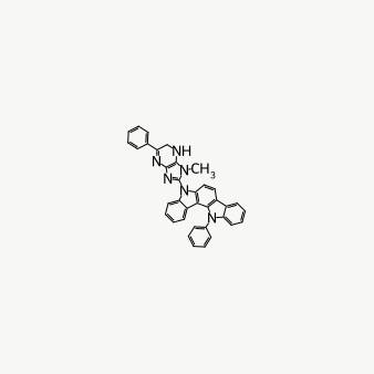 Cn1c(-n2c3ccccc3c3c2ccc2c4ccccc4n(-c4ccccc4)c23)nc2c1NCC(c1ccccc1)=N2